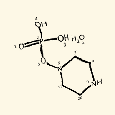 O.O=P(O)(O)ON1CCNCC1